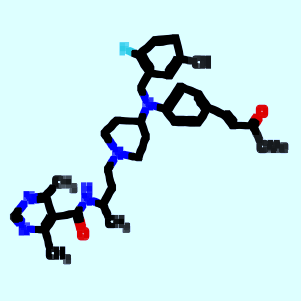 COC(=O)/C=C/c1ccc(N(Cc2cc(C#N)ccc2F)C2CCN(CCC(C)NC(=O)c3c(C)ncnc3C)CC2)cc1